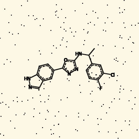 CC(Nc1nnc(-c2ccc3c(c2)I=NN3)o1)c1ccc(F)c(Cl)c1